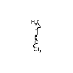 CCOCCCSC